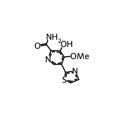 COc1c(-c2nccs2)cnc(C(N)=O)c1O